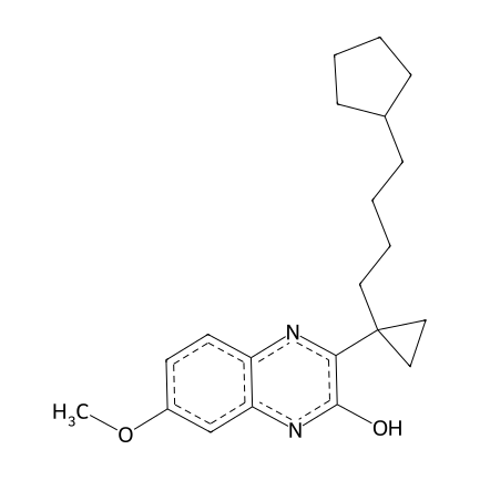 COc1ccc2nc(C3(CCCCC4CCCC4)CC3)c(O)nc2c1